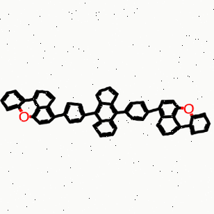 c1ccc2c(c1)Oc1ccc(-c3ccc(-c4c5ccccc5c(-c5ccc(-c6ccc7c8c(cccc68)-c6ccccc6O7)cc5)c5ccccc45)cc3)c3cccc-2c13